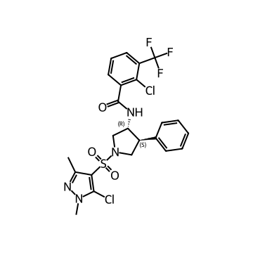 Cc1nn(C)c(Cl)c1S(=O)(=O)N1C[C@H](NC(=O)c2cccc(C(F)(F)F)c2Cl)[C@@H](c2ccccc2)C1